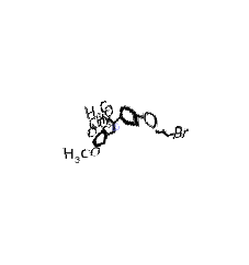 COC(=O)/C(=C\c1cc(OC)cc(OC)c1)c1ccc(OCCCBr)cc1